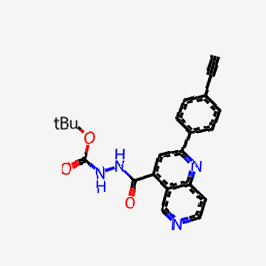 C#Cc1ccc(-c2cc(C(=O)NNC(=O)OC(C)(C)C)c3cnccc3n2)cc1